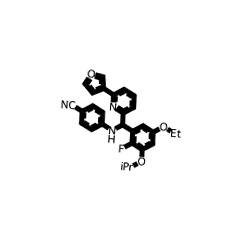 CCOc1cc(OC(C)C)c(F)c(C(Nc2ccc(C#N)cc2)c2cccc(-c3ccoc3)n2)c1